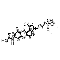 C[Si](C)(C)CCOCn1cc(Cl)c2c(Oc3c(F)cc(NC(O)=S)cc3F)ccnc21